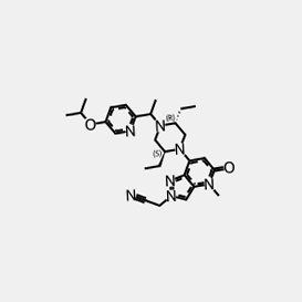 CC[C@H]1CN(C(C)c2ccc(OC(C)C)cn2)[C@H](CC)CN1c1cc(=O)n(C)c2cn(CC#N)nc12